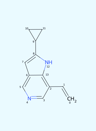 C=Cc1cncc2cc(C3CC3)[nH]c12